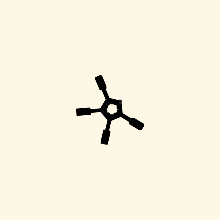 C#Cc1sc(C#C)c(C#C)c1C#C